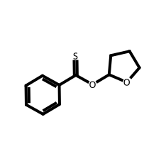 S=C(OC1CCCO1)c1ccccc1